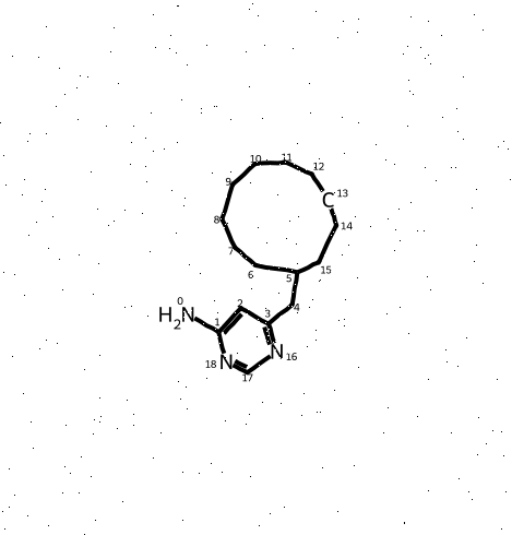 Nc1cc(CC2CCCCCCCCCC2)ncn1